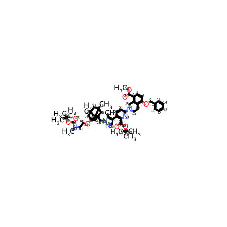 COC(=O)c1ccc(OCc2ccccc2)c2c1CN(c1ccc(-c3cnn(CC45CC6(C)CC(C)(C4)CC(OCCN(C)C(=O)OC(C)(C)C)(C6)C5)c3C)c(C(=O)OC(C)(C)C)n1)CC2